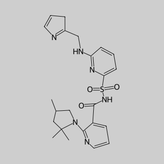 CC1CN(c2ncccc2C(=O)NS(=O)(=O)c2cccc(NCC3=NC=CC3)n2)C(C)(C)C1